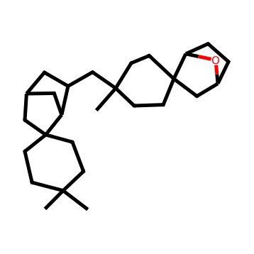 CC1(C)CCC2(CC1)CC1CC(CC3(C)CCC4(CC3)CC3CCC4O3)C2C1